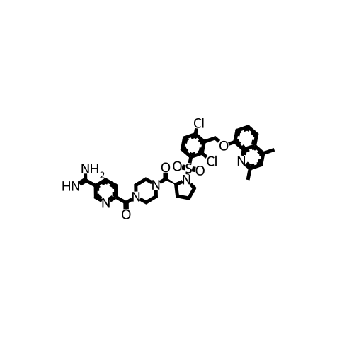 Cc1cc(C)c2cccc(OCc3c(Cl)ccc(S(=O)(=O)N4CCC[C@H]4C(=O)N4CCN(C(=O)c5ccc(C(=N)N)cn5)CC4)c3Cl)c2n1